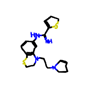 N=C(Nc1ccc2c(c1)N(CCN1CCCC1)CCS2)C1=CCCS1